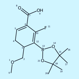 COCC1CC=C(C(=O)O)C(F)=C1B1OC(C)(C)C(C)(C)O1